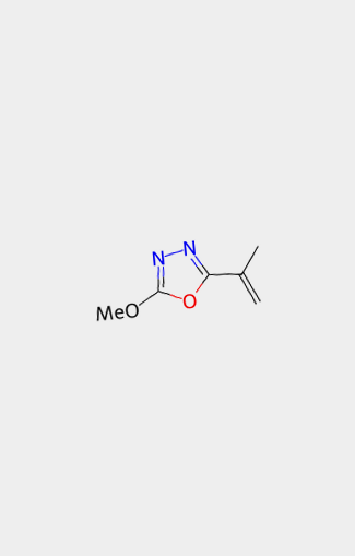 C=C(C)c1nnc(OC)o1